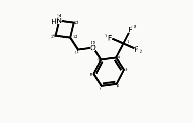 FC(F)(F)c1ccccc1OCC1CNC1